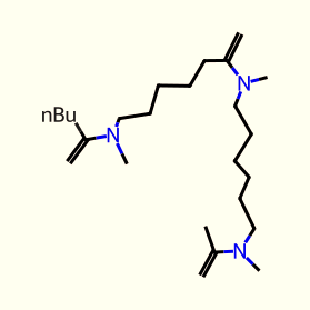 C=C(C)N(C)CCCCCCN(C)C(=C)CCCCCN(C)C(=C)CCCC